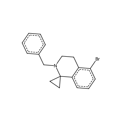 Brc1cccc2c1CCN(Cc1ccccc1)C21CC1